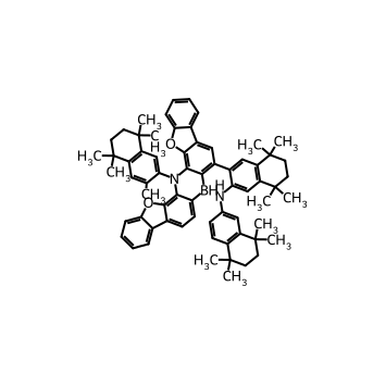 Cc1cc2c(cc1N1c3c(ccc4c3oc3ccccc34)Bc3c(-c4cc5c(cc4Nc4ccc6c(c4)C(C)(C)CCC6(C)C)C(C)(C)CCC5(C)C)cc4c(oc5ccccc54)c31)C(C)(C)CCC2(C)C